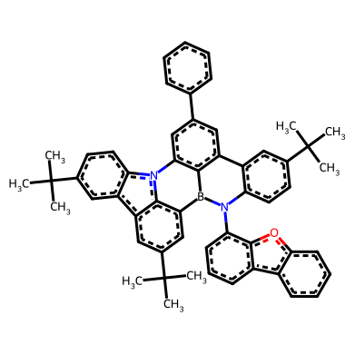 CC(C)(C)c1ccc2c(c1)-c1cc(-c3ccccc3)cc3c1B(c1cc(C(C)(C)C)cc4c5cc(C(C)(C)C)ccc5n-3c14)N2c1cccc2c1oc1ccccc12